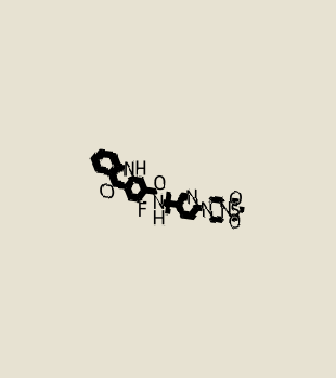 CC(C)(NC(=O)c1cc2[nH]c3ccccc3c(=O)c2cc1F)c1ccc(N2CCN(S(C)(=O)=O)CC2)nc1